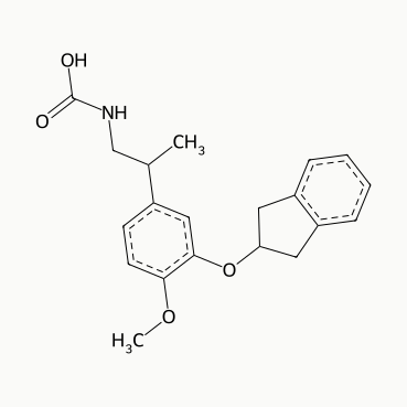 COc1ccc(C(C)CNC(=O)O)cc1OC1Cc2ccccc2C1